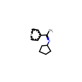 C/C(=N/C1CCCC1)c1ccccc1